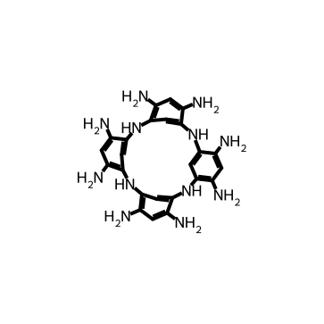 Nc1cc(N)c2cc1Nc1cc(c(N)cc1N)Nc1cc(c(N)cc1N)Nc1cc(c(N)cc1N)N2